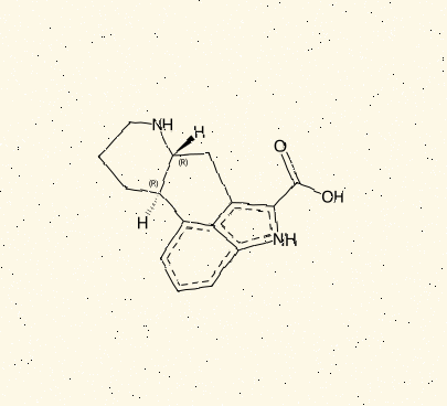 O=C(O)c1[nH]c2cccc3c2c1C[C@H]1NCCC[C@H]31